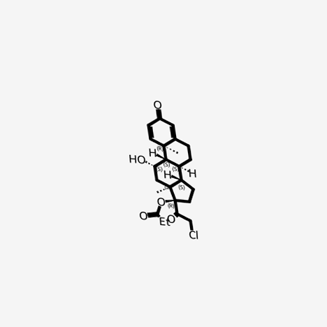 CCC(=O)O[C@]1(C(=O)CCl)CC[C@H]2[C@@H]3CCC4=CC(=O)C=C[C@]4(C)[C@H]3[C@@H](O)C[C@@]21C